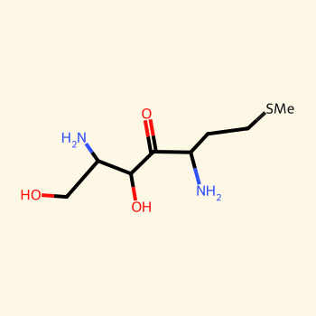 CSCCC(N)C(=O)C(O)C(N)CO